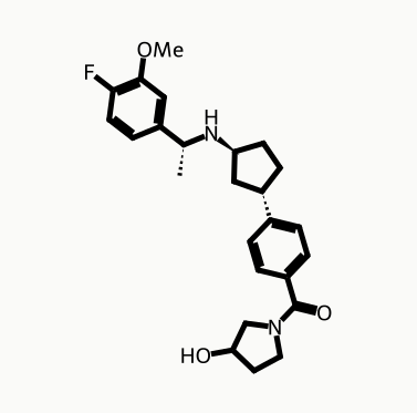 COc1cc([C@@H](C)N[C@H]2CC[C@H](c3ccc(C(=O)N4CCC(O)C4)cc3)C2)ccc1F